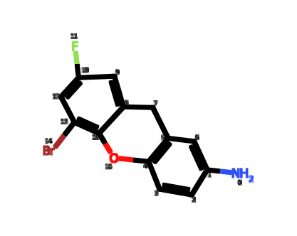 Nc1ccc2c(c1)Cc1cc(F)cc(Br)c1O2